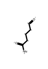 [NH]C(=O)CCC[C]=O